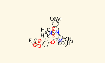 COc1ccc(CN([C@H]2C[C@@H](C)N(C(=O)O)[C@H]2COC2CC=C(OS(=O)(=O)C(F)(F)F)CC2)S(=O)(=O)N(C)C)cc1